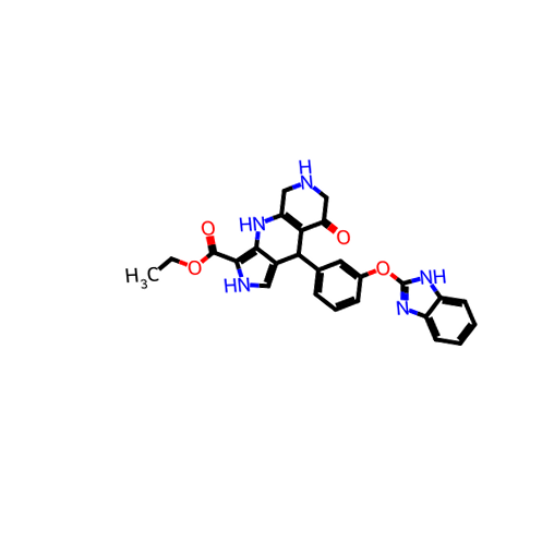 CCOC(=O)c1[nH]cc2c1NC1=C(C(=O)CNC1)C2c1cccc(Oc2nc3ccccc3[nH]2)c1